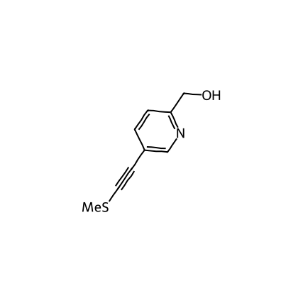 CSC#Cc1ccc(CO)nc1